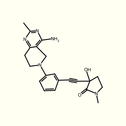 Cc1nc(N)c2c(n1)CCN(c1cccc(C#CC3(O)CCN(C)C3=O)c1)C2